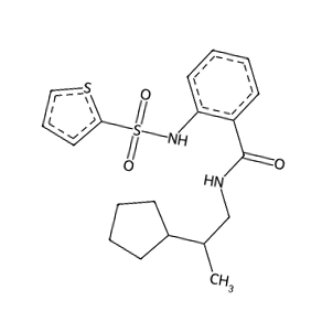 CC(CNC(=O)c1ccccc1NS(=O)(=O)c1cccs1)C1CCCC1